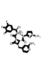 CC[C@@H](NC(=O)N1C(=O)[C@H](Cc2ccnc(N)c2)[C@H]1C(=O)N(C)c1ccn(C)n1)c1cc(F)c(F)c(F)c1